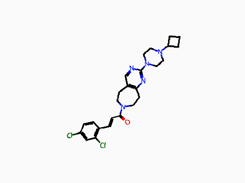 O=C(/C=C/c1ccc(Cl)cc1Cl)N1CCc2cnc(N3CCN(C4CCC4)CC3)nc2CC1